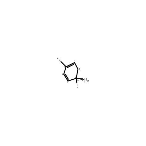 N[C@@]1(I)C=CC(F)=CC1